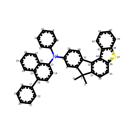 CC1(C)c2cc(N(c3ccccc3)c3ccc(-c4ccccc4)c4ccccc34)ccc2-c2c1ccc1sc3ccccc3c21